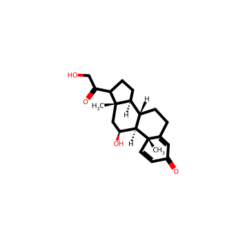 C[C@]12C=CC(=O)C=C1CC[C@@H]1[C@@H]2[C@@H](O)C[C@]2(C)C(C(=O)CO)CC[C@@H]12